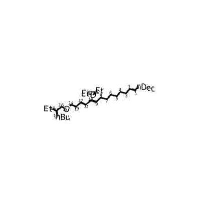 CCCCCCCCCCCCCCCCCCCCCCCCOCC(CC)CCCC.CCOCC